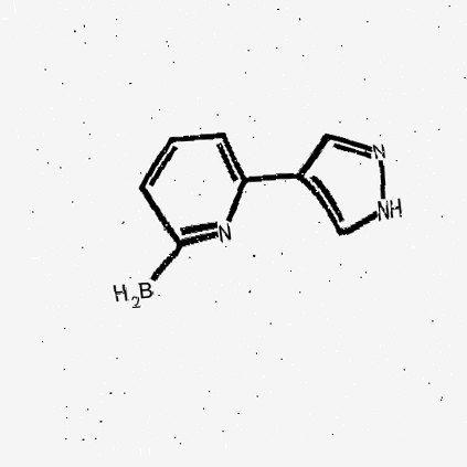 Bc1cccc(-c2cn[nH]c2)n1